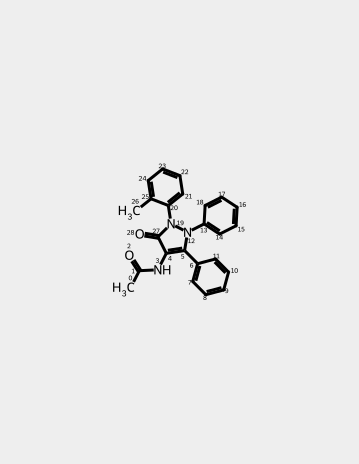 CC(=O)Nc1c(-c2ccccc2)n(-c2ccccc2)n(-c2ccccc2C)c1=O